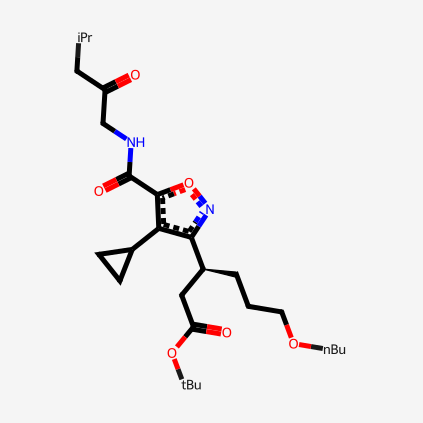 CCCCOCCC[C@@H](CC(=O)OC(C)(C)C)c1noc(C(=O)NCC(=O)CC(C)C)c1C1CC1